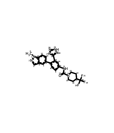 Cn1ncc2cc(-c3ccc(NC(=O)N4CCC(C(F)(F)F)CC4)cc3-c3nn[nH]n3)ccc21